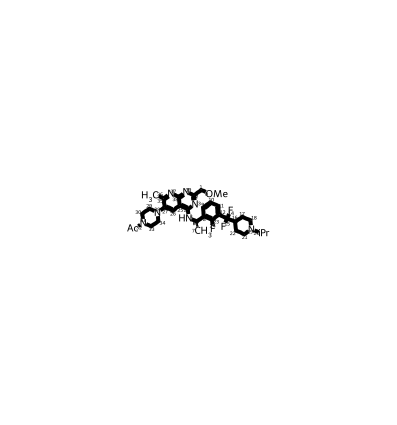 COCc1nc(N[C@H](C)c2cccc(C(F)(F)C3CCN(C(C)C)CC3)c2F)c2cc(N3CCN(C(C)=O)CC3)c(C)nc2n1